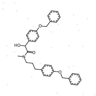 CN(CCCc1ccc(OCc2ccccc2)cc1)C(=O)C(O)c1ccc(OCc2ccccc2)cc1